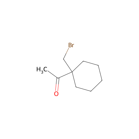 CC(=O)C1(CBr)CCCCC1